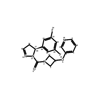 O=C(N1CC(Oc2cccnc2)C1)N1N=CC[C@H]1c1cc(F)cc(F)c1